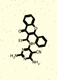 CCC(Nc1nc(N)nc(N)c1C#N)c1c(-c2ccccc2)oc2ccccc2c1=O